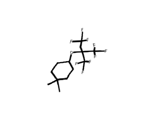 CC1(C)CCC(OC(C(F)(F)F)(C(F)(F)F)C(F)(F)F)CC1